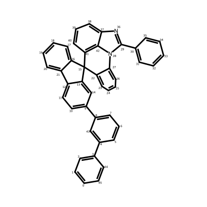 c1ccc(-c2cccc(-c3ccc4c(c3)C3(c5ccccc5-4)c4ccccc4-n4c(-c5ccccc5)nc5cccc3c54)c2)cc1